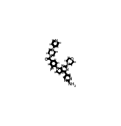 Nc1ncc(-c2nc(N3CCOCC3)nc3c2CCN3c2ccc(C(=O)N3CCN(c4ccncc4)CC3)cc2F)cn1